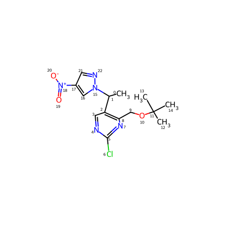 CC(c1cnc(Cl)nc1COC(C)(C)C)n1cc([N+](=O)[O-])cn1